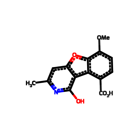 COc1ccc(C(=O)O)c2c1oc1cc(C)nc(O)c12